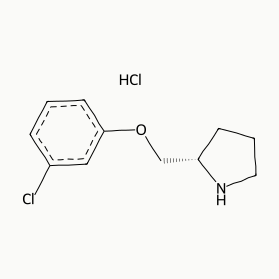 Cl.Clc1cccc(OC[C@@H]2CCCN2)c1